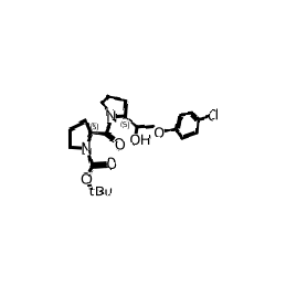 CC(C)(C)OC(=O)N1CCC[C@H]1C(=O)N1CCC[C@H]1C(O)COc1ccc(Cl)cc1